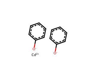 [Cd+2].[O-]c1ccccc1.[O-]c1ccccc1